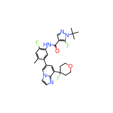 Cc1cc(F)c(NC(=O)c2cnn(C(C)(C)C)c2F)cc1-c1cc(C2(F)CCOCC2)c2nccn2c1